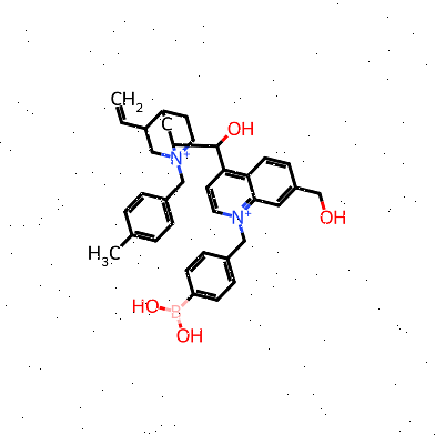 C=CC1C[N+]2(Cc3ccc(C)cc3)CCC1CC2C(O)c1cc[n+](Cc2ccc(B(O)O)cc2)c2cc(CO)ccc12